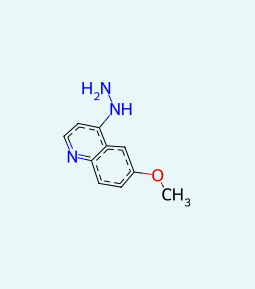 COc1ccc2nccc(NN)c2c1